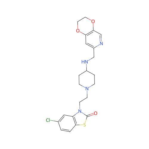 O=c1sc2ccc(Cl)cc2n1CCN1CCC(NCc2cc3c(cn2)OCCO3)CC1